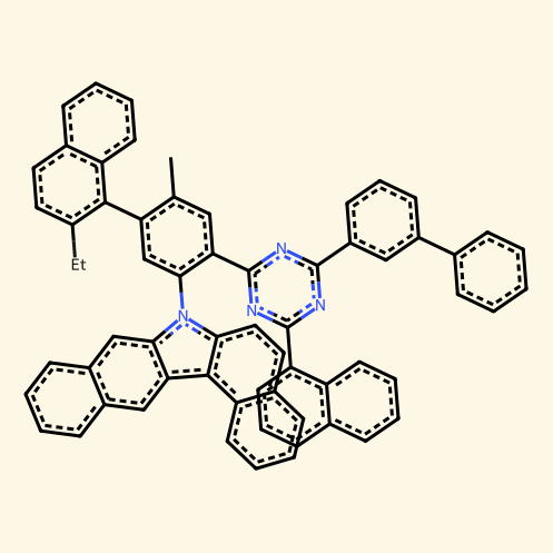 CCc1ccc2ccccc2c1-c1cc(-n2c3cc4ccccc4cc3c3c4ccccc4ccc32)c(-c2nc(-c3cccc(-c4ccccc4)c3)nc(-c3cccc4ccccc34)n2)cc1C